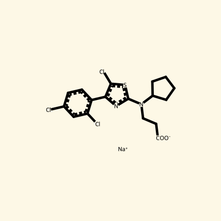 O=C([O-])CCN(c1nc(-c2ccc(Cl)cc2Cl)c(Cl)s1)C1CCCC1.[Na+]